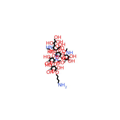 CC(=O)NC1[C@H](O[C@@H]2[C@H](O[C@@]3(C(=O)O)C[C@@H](O)[C@H](NC(C)=O)[C@@H]([C@H](O)[C@H](O)CO)O3)[C@@H](O)[C@H](O[C@H]3[C@H](O)[C@@H](CO)O[C@@H](O[C@H]4[C@@H](O)[C@@H](CO)O[C@@H](OCCCCCN)[C@@H]4O)[C@@H]3NC(C)=O)O[C@@H]2CO)O[C@H](CO)[C@H](O)[C@@H]1O